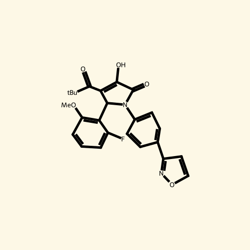 COc1cccc(F)c1C1C(C(=O)C(C)(C)C)=C(O)C(=O)N1c1ccc(-c2ccon2)cc1